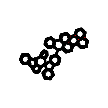 c1ccc(-c2ccc(-c3ccccc3N(c3ccc4c(c3)C3(c5ccccc5-4)c4ccccc4-n4c5ccccc5c5cccc3c54)c3ccc4c(ccc5ccccc54)c3)cc2)cc1